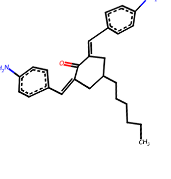 CCCCCCC1CC(=Cc2ccc(N)cc2)C(=O)C(=Cc2ccc(N)cc2)C1